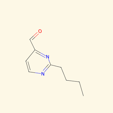 CCCCc1nccc(C=O)n1